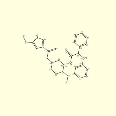 CCc1cc(C(=O)CN2CCC(CC)[C@@H](OC(=O)C(Nc3ccccc3)c3ccccc3)C2)cs1